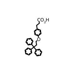 O=C(O)CCc1ccc(OCCC(c2ccccc2)(c2ccccc2)c2ccccc2)cc1